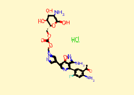 CC(=O)c1cc(-c2ncc(-c3cnn(COC(=O)OC[C@H]4OC(O)[C@H](N)[C@@H](O)[C@@H]4O)c3)c3onc(N)c23)c(F)cc1N.Cl